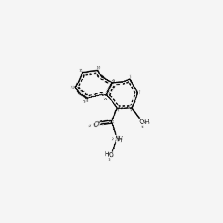 O=C(NO)c1c(O)ccc2ccccc12